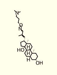 CC(/C=N/OCCCN(C)C)=C\[C@H]1CC[C@]2(O)[C@@H]3CC[C@@H]4C[C@@H](O)CC[C@]4(C)[C@H]3CC[C@]12C